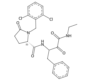 CCNC(=O)C(=O)C(Cc1ccccc1)NC(=O)[C@@H]1CCC(=O)N1Cc1c(Cl)cccc1Cl